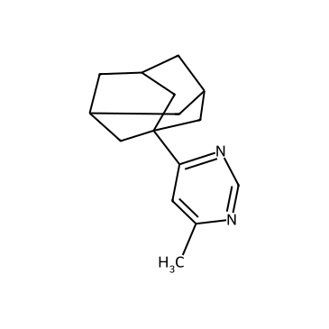 Cc1cc(C23CC4CC(CC(C4)C2)C3)ncn1